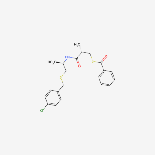 C[C@H](CSC(=O)c1ccccc1)C(=O)N[C@@H](CSCc1ccc(Cl)cc1)C(=O)O